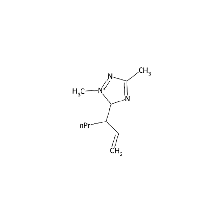 C=CC(CCC)C1N=C(C)N=[N+]1C